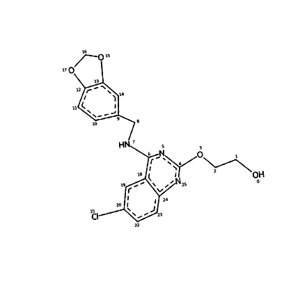 OCCOc1nc(NCc2ccc3c(c2)OCO3)c2cc(Cl)ccc2n1